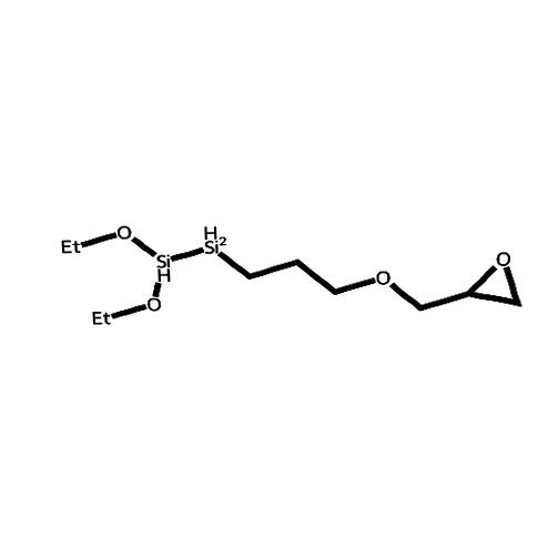 CCO[SiH](OCC)[SiH2]CCCOCC1CO1